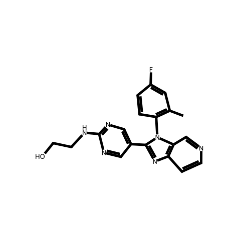 Cc1cc(F)ccc1-n1c(-c2cnc(NCCO)nc2)nc2ccncc21